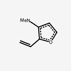 C=Cc1occc1NC